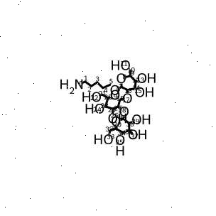 NCCCCCOC1OC(CO)C(O)C(O)C1OC1OC(CO)C(O)C(O)C1OC1OC(CO)C(O)C(O)C1O